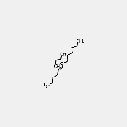 CCCC.CCCCCCOCCCCCC